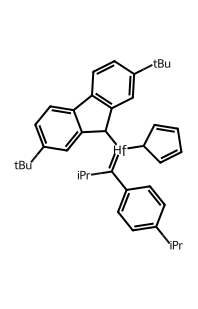 CC(C)[C](c1ccc(C(C)C)cc1)=[Hf]([CH]1C=CC=C1)[CH]1c2cc(C(C)(C)C)ccc2-c2ccc(C(C)(C)C)cc21